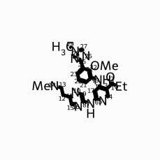 CCC(=O)c1cnc(Nc2cnc(CCNC)cn2)cc1Nc1cccc(-c2ncn(C)n2)c1OC